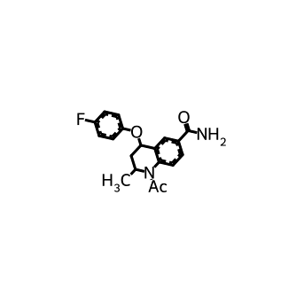 CC(=O)N1c2ccc(C(N)=O)cc2C(Oc2ccc(F)cc2)CC1C